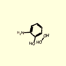 Nc1ccccc1O.OO